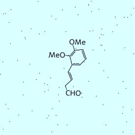 COc1cccc(/C=C/C[C]=O)c1OC